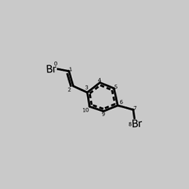 BrC=Cc1ccc(CBr)cc1